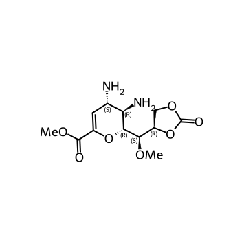 COC(=O)C1=C[C@H](N)[C@@H](N)[C@H]([C@H](OC)[C@H]2COC(=O)O2)O1